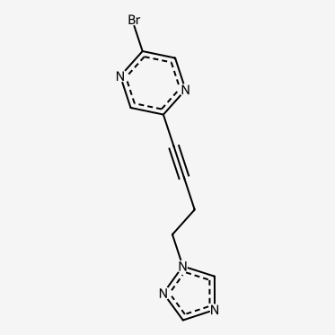 Brc1cnc(C#CCCn2cncn2)cn1